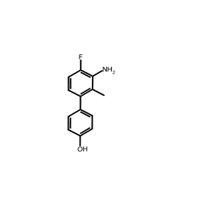 Cc1c(-c2ccc(O)cc2)ccc(F)c1N